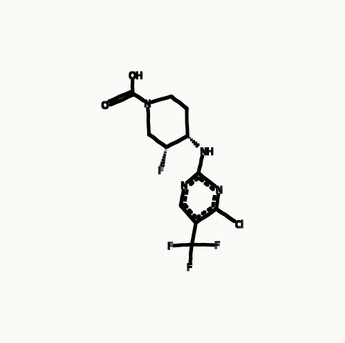 O=C(O)N1CC[C@H](Nc2ncc(C(F)(F)F)c(Cl)n2)[C@H](F)C1